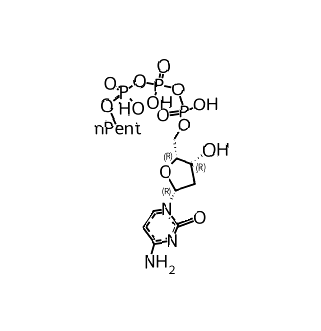 CCCCCOP(=O)(O)OP(=O)(O)OP(=O)(O)OC[C@H]1O[C@@H](n2ccc(N)nc2=O)C[C@H]1O